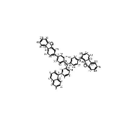 c1cc(-c2cccc3ccccc23)cc(N(c2ccc(-c3ccc4c(c3)oc3ccccc34)cc2)c2ccc(-c3cccc4c3oc3ccccc34)cc2)c1